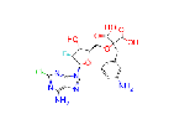 Nc1cccc(CC(OC[C@H]2O[C@@H](n3cnc4c(N)nc(Cl)nc43)[C@@H](F)[C@@H]2O)(C(=O)O)C(=O)O)c1